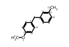 COc1ccc(Cc2cccc(C)c2)cc1